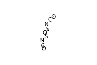 O=C=NSOSN=C=O